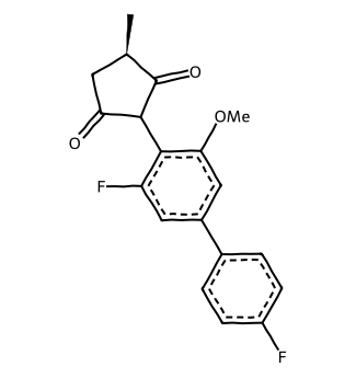 COc1cc(-c2ccc(F)cc2)cc(F)c1C1C(=O)C[C@@H](C)C1=O